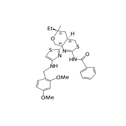 CC[C@@]1(C)C[C@H]2CSC(NC(=O)c3ccccc3)=N[C@@]2(c2nc(NCc3ccc(OC)cc3OC)cs2)CO1